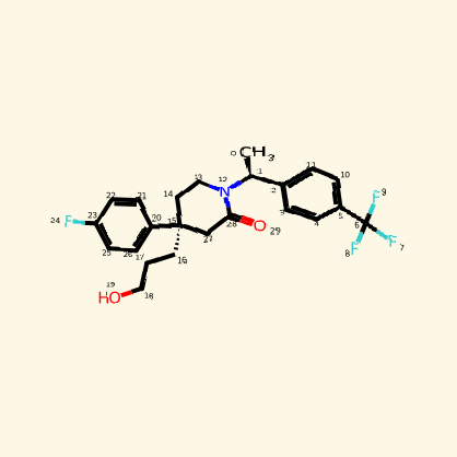 C[C@@H](c1ccc(C(F)(F)F)cc1)N1CC[C@](CCCO)(c2ccc(F)cc2)CC1=O